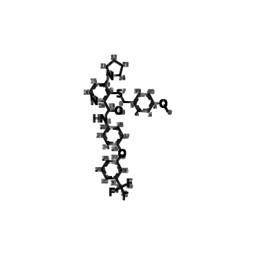 COc1ccc(CSc2c(N3CCCC3)ccnc2C(=O)Nc2ccc(Oc3cccc(C(F)(F)F)c3)cc2)cc1